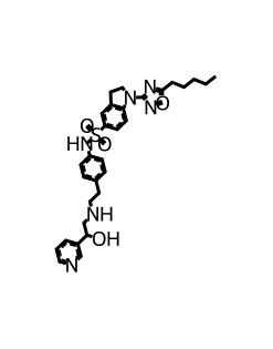 CCCCCc1nc(N2CCc3cc(S(=O)(=O)Nc4ccc(CCNCC(O)c5cccnc5)cc4)ccc32)no1